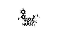 CC(=O)[C@H](CCN)NC(=O)[C@@H](NC(=O)[C@@H]1CNC[C@@H](C2CCCCC2)C1)[C@H](C)O